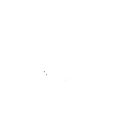 CC1(C)c2cc(-c3ccccc3)ccc2-c2ccc(N(c3ccc(-c4ccccc4)cc3)c3ccc4c(c3)C(C)(C)c3ccc(-c5ccc(-c6ccccc6)cc5)c(-c5ccccc5)c3-4)cc21